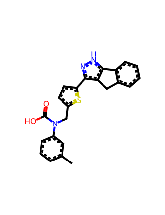 Cc1cccc(N(Cc2ccc(-c3n[nH]c4c3Cc3ccccc3-4)s2)C(=O)O)c1